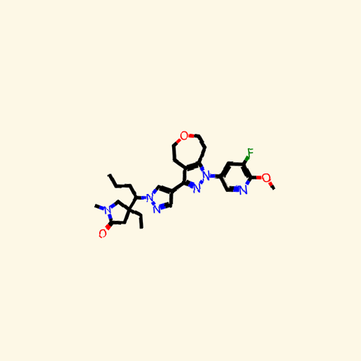 CCCC(n1cc(-c2nn(-c3cnc(OC)c(F)c3)c3c2CCOCC3)cn1)C1(CC)CC(=O)N(C)C1